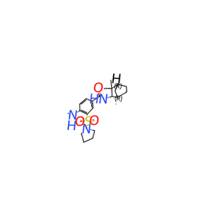 CNc1ccc(C(=O)NC2C(C)(C)[C@@H]3CC[C@]2(C)C3)cc1S(=O)(=O)N1CCCC1